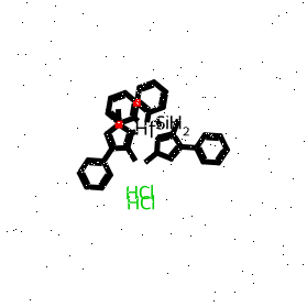 CC1=[C]([Hf](=[SiH2])([C]2=C(C)C(c3ccccc3)=CC2C)([c]2ccccc2)[c]2ccccc2)C(C)C=C1c1ccccc1.Cl.Cl